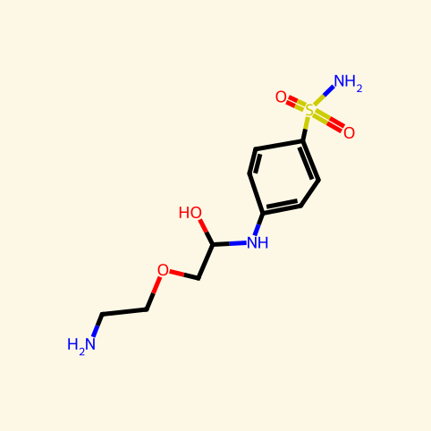 NCCOCC(O)Nc1ccc(S(N)(=O)=O)cc1